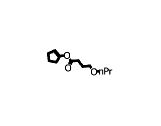 CCCOCCCC(=O)OC1=CCCC1